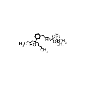 CCCCC(O)(CCCC)c1cccc(CCCNC(=O)OC(C)(C)C)c1